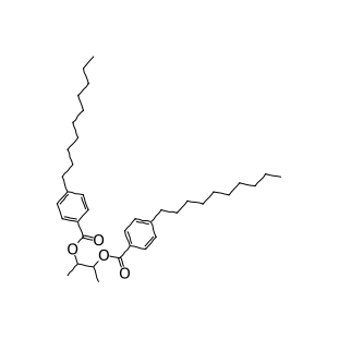 CCCCCCCCCCc1ccc(C(=O)OC(C)C(C)OC(=O)c2ccc(CCCCCCCCCC)cc2)cc1